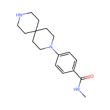 CNC(=O)c1ccc(N2CCC3(CCNCC3)CC2)cc1